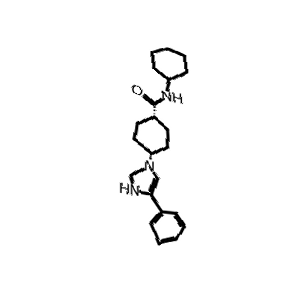 O=C(NC1CCCCC1)[C@H]1CC[C@@H](N2C=C(c3ccccc3)NC2)CC1